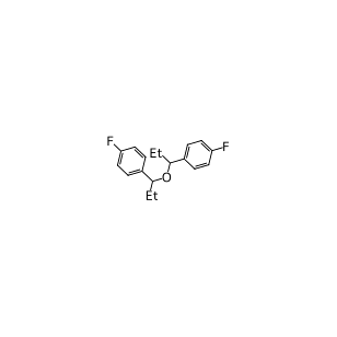 CCC(OC(CC)c1ccc(F)cc1)c1ccc(F)cc1